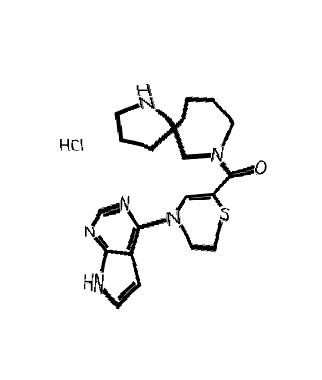 Cl.O=C(C1=CN(c2ncnc3[nH]ccc23)CCS1)N1CCCC2(CCCN2)C1